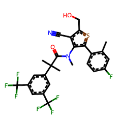 Cc1cc(F)ccc1-c1sc(CO)c(C#N)c1N(C)C(=O)C(C)(C)c1cc(C(F)(F)F)cc(C(F)(F)F)c1